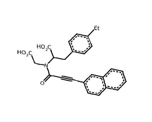 CCc1ccc(CC(C(=O)O)N(CC(=O)O)C(=O)C#Cc2ccc3ccccc3c2)cc1